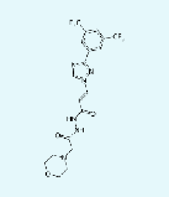 O=C(C=Cn1cnc(-c2cc(C(F)(F)F)cc(C(F)(F)F)c2)n1)NNC(=O)CN1CCOCC1